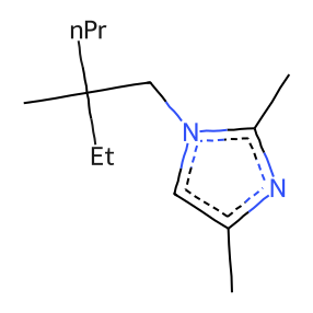 CCCC(C)(CC)Cn1cc(C)nc1C